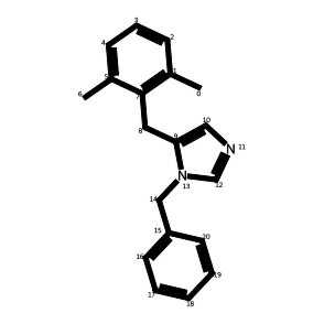 Cc1cccc(C)c1Cc1cncn1Cc1ccccc1